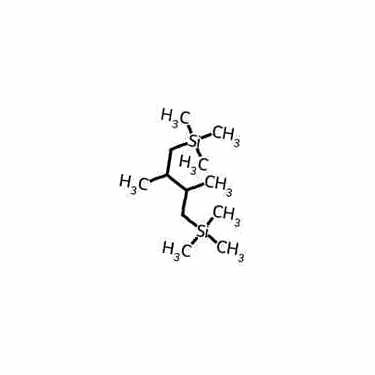 CC(C[Si](C)(C)C)C(C)C[Si](C)(C)C